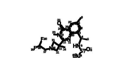 Cc1cc([C@@H](C)N[S+]([O-])C(C)(C)C)c2nc(C3(C)CN(CC(F)F)C3)n(C)c(=O)c2c1